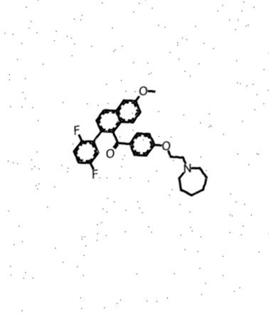 COc1ccc2c(C(=O)c3ccc(OCCN4CCCCCC4)cc3)c(-c3cc(F)ccc3F)ccc2c1